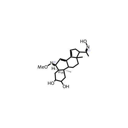 CO/N=C1/C=C2C3=CCC(/C(C)=N\O)C3(C)CCC2[C@@]2(C)CC(O)C(O)C[C@@H]12